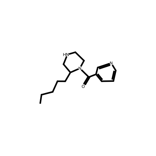 CCCCCC1CNCCN1C(=O)c1cccnc1